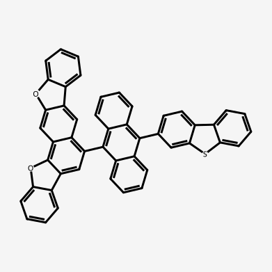 c1ccc2c(c1)oc1cc3c(cc12)c(-c1c2ccccc2c(-c2ccc4c(c2)sc2ccccc24)c2ccccc12)cc1c2ccccc2oc31